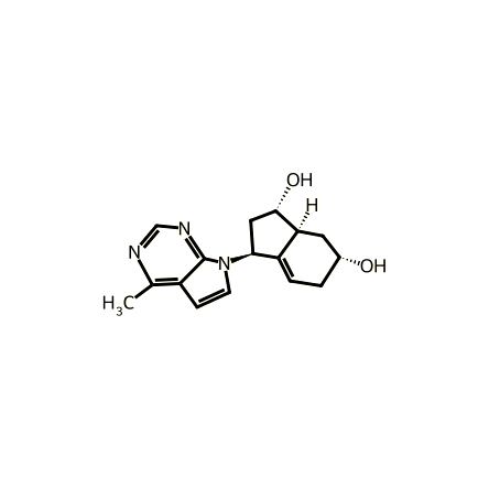 Cc1ncnc2c1ccn2[C@H]1C[C@H](O)[C@H]2C[C@H](O)CC=C21